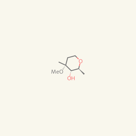 CO[C@]1(C)CCO[C@@H](C)[C@@H]1O